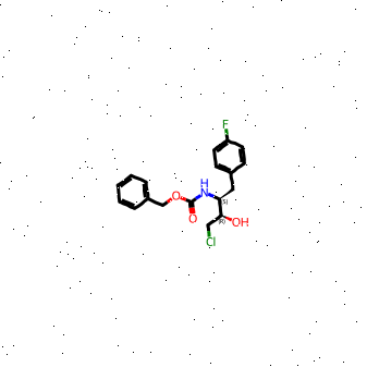 O=C(N[C@@H](Cc1ccc(F)cc1)[C@@H](O)CCl)OCc1ccccc1